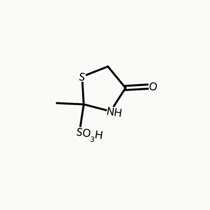 CC1(S(=O)(=O)O)NC(=O)CS1